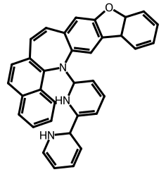 C1=CNC(C2=CC=CC(N3c4cc5c(cc4C=Cc4ccc6ccccc6c43)OC3C=CC=CC53)N2)C=C1